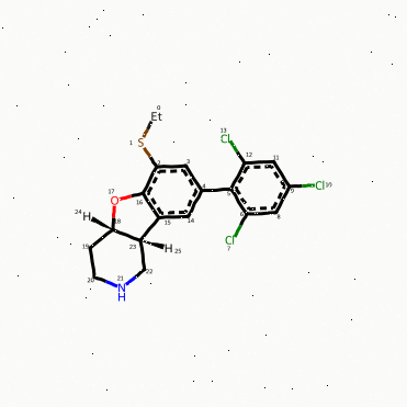 CCSc1cc(-c2c(Cl)cc(Cl)cc2Cl)cc2c1O[C@H]1CCNC[C@@H]21